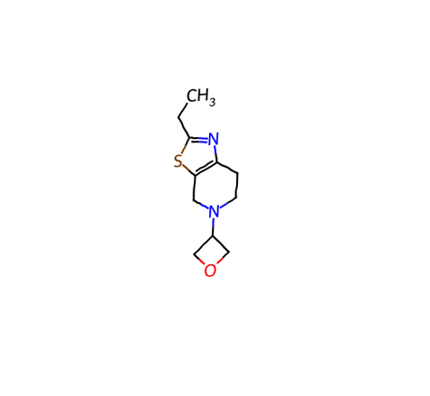 CCc1nc2c(s1)CN(C1COC1)CC2